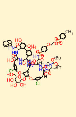 Cc1ccc(S(=O)(=O)OCCOc2ccc(S(=O)(=O)NC(=O)C[C@@H]3NC(=O)[C@H](NC(=O)[C@@H](CC(C)C)N(C)C(=O)OC(C)(C)C)[C@H](O)c4ccc(c(Cl)c4)Oc4cc5cc(c4O[C@@H]4O[C@H](CO)[C@@H](O)[C@H](O)[C@H]4O)Oc4ccc(cc4Cl)[C@@H](O)[C@@H]4NC(=O)[C@H](NC(=O)[C@@H]5NC3=O)c3ccc(O)c(c3)-c3c(O)cc(O)cc3[C@@H](C(=O)NC3C5CC6CC(C5)CC3C6)NC4=O)cc2)cc1